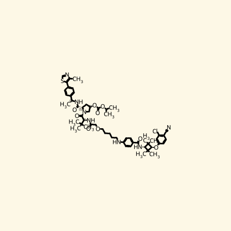 Cc1ncsc1-c1ccc([C@H](C)NC(=O)[C@@H]2C[C@@H](OC(=O)OC(C)C)CN2C(=O)[C@@H](NC(=O)COCCCCCNc2ccc(C(=O)N[C@H]3C(C)(C)[C@H](Oc4ccc(C#N)c(Cl)c4)C3(C)C)cc2)C(C)(C)C)cc1